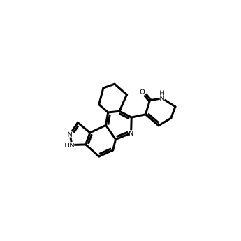 O=C1NCCC=C1c1nc2ccc3[nH]ncc3c2c2c1CCCC2